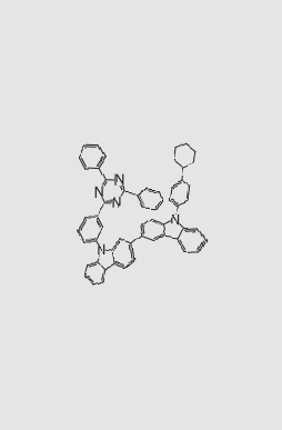 c1ccc(-c2nc(-c3ccccc3)nc(-c3cccc(-n4c5ccccc5c5ccc(-c6ccc7c(c6)c6ccccc6n7-c6ccc(C7CCCCC7)cc6)cc54)c3)n2)cc1